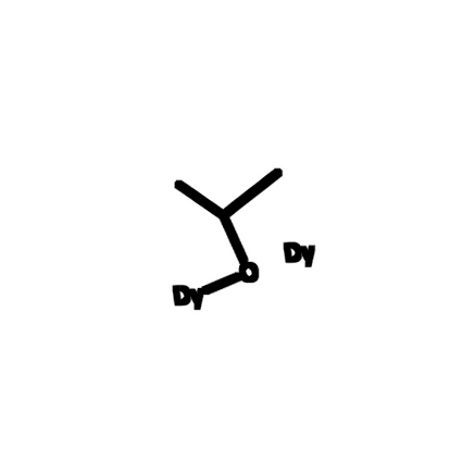 CC(C)[O][Dy].[Dy]